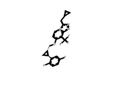 Fc1ccc(F)c([C@H]2C[C@@H]2COc2ccn3c(CC4CC4)nnc3c2C(F)(F)F)c1